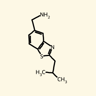 CC(C)Cc1nc2cc(CN)ccc2s1